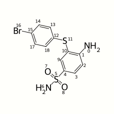 Nc1ccc(S(N)(=O)=O)cc1Sc1ccc(Br)cc1